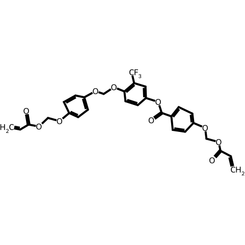 C=CC(=O)OCOc1ccc(OCOc2ccc(OC(=O)c3ccc(OCOC(=O)C=C)cc3)cc2C(F)(F)F)cc1